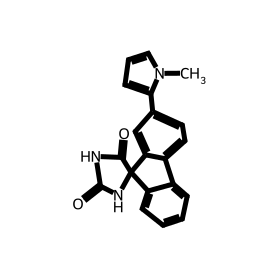 Cn1cccc1-c1ccc2c(c1)C1(NC(=O)NC1=O)c1ccccc1-2